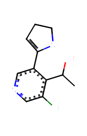 CC(O)c1c(Cl)cncc1C1=CCCN1